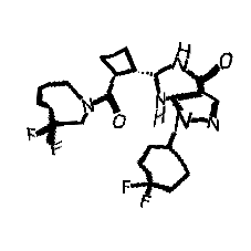 O=C1NC([C@H]2CC[C@@H]2C(=O)N2CCCC(F)(F)C2)Nc2c1cnn2C1CCC(F)(F)CC1